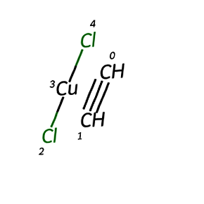 C#C.[Cl][Cu][Cl]